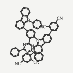 N#Cc1ccc(-c2ccc3c4ccc(-c5ccc(C#N)cc5C#N)cc4n(-c4ccc(-c5cccc6c7ccccc7n(-c7ccccc7)c56)cc4-c4nc(-c5ccccc5)nc(-c5ccccc5)n4)c3c2)c(C#N)c1